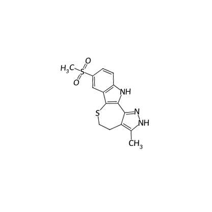 Cc1[nH]nc2c1CCSc1c-2[nH]c2ccc(S(C)(=O)=O)cc12